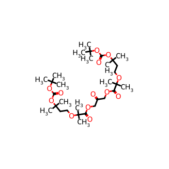 CC(C)(C)OC(=O)OC(C)(C)CCOC(C)(C)C(=O)OCC(=O)COC(=O)C(C)(C)OCCC(C)(C)OC(=O)OC(C)(C)C